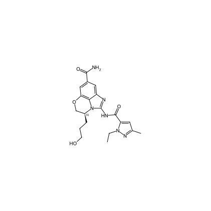 CCn1nc(C)cc1C(=O)Nc1nc2cc(C(N)=O)cc3c2n1[C@@H](CCCO)CO3